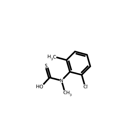 Cc1cccc(Cl)c1N(C)C(O)=S